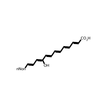 CCCCCCCCCC=CC=C(O)C=CC=CC=CC=CC(=O)O